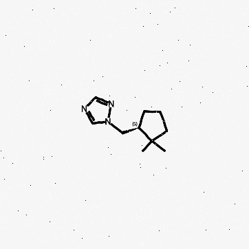 CC1(C)CCC[C@@H]1Cn1cncn1